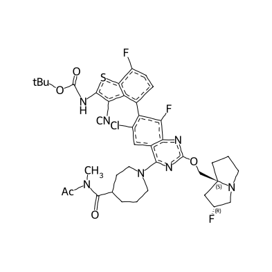 CC(=O)N(C)C(=O)C1CCCN(c2nc(OC[C@@]34CCCN3C[C@H](F)C4)nc3c(F)c(-c4ccc(F)c5sc(NC(=O)OC(C)(C)C)c(C#N)c45)c(Cl)cc23)CC1